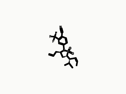 C=CC[C@@H]1C[C@@H]([C@H](/C=C\C)C(C)C)S(=O)(=O)N1c1ccc(C#N)c(C(F)(F)F)c1